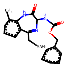 CSCC1=NC(NC(=O)OCc2ccccc2)C(=O)Nc2c(C)cccc21